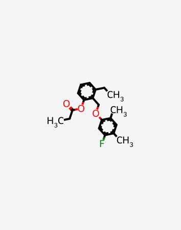 CCC(=O)Oc1cccc(CC)c1COc1cc(F)c(C)cc1C